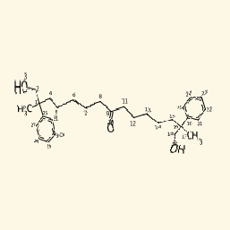 CC(CO)(CCCCCC(=O)CCCCCC(C)(CO)c1ccccc1)c1ccccc1